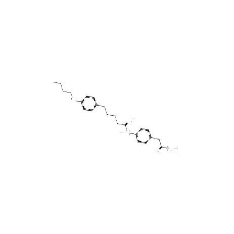 CCCCOc1ccc(CCCCC(=O)Nc2ccc(CC(N)=O)cc2)cc1